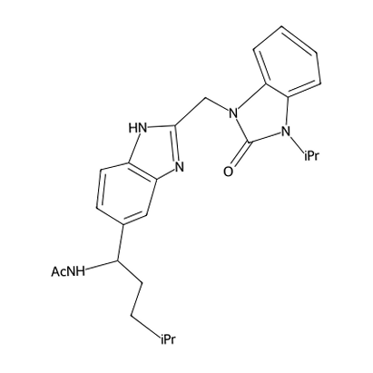 CC(=O)NC(CCC(C)C)c1ccc2[nH]c(Cn3c(=O)n(C(C)C)c4ccccc43)nc2c1